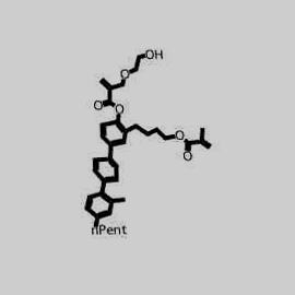 C=C(C)C(=O)OCCCCc1cc(-c2ccc(-c3ccc(CCCCC)cc3C)cc2)ccc1OC(=O)C(=C)COCCO